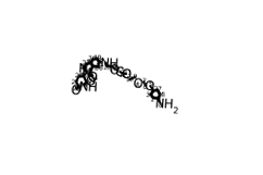 Nc1ccc(OCCOCCOCCOCCNc2ccc3cnn(C4CCC(=O)NC4=O)c(=O)c3c2)cc1